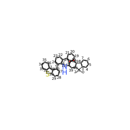 CC1(C)c2ccccc2-c2ccc(Nc3c(-c4ccccc4)cccc3-c3cccc4sc5ccccc5c34)cc21